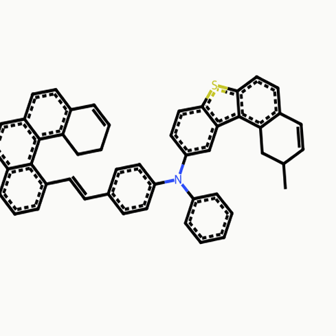 CC1C=Cc2ccc3sc4ccc(N(c5ccccc5)c5ccc(C=Cc6cccc7ccc8ccc9c(c8c67)CCC=C9)cc5)cc4c3c2C1